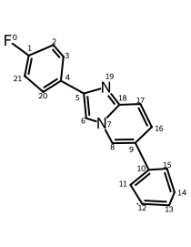 Fc1ccc(-c2cn3cc(-c4c[c]ccc4)ccc3n2)cc1